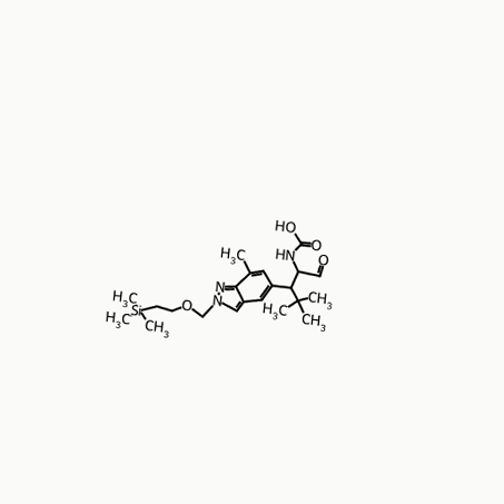 Cc1cc(C(C(C=O)NC(=O)O)C(C)(C)C)cc2cn(COCC[Si](C)(C)C)nc12